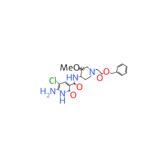 CO[C@H]1CN(CC(=O)OCc2ccccc2)CCC1NC(=O)c1cc(Cl)c(N)[nH]c1=O